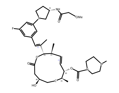 COCC(=O)N[C@H]1CCN(c2cc(F)cc(/C=C(\C)[C@H]3OC(=O)C[C@H](O)CC[C@H](C)[C@@H](OC(=O)N4CCN(C)CC4)/C=C/[C@@H]3C)c2)C1